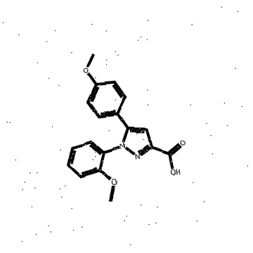 COc1ccc(-c2cc(C(=O)O)nn2-c2ccccc2OC)cc1